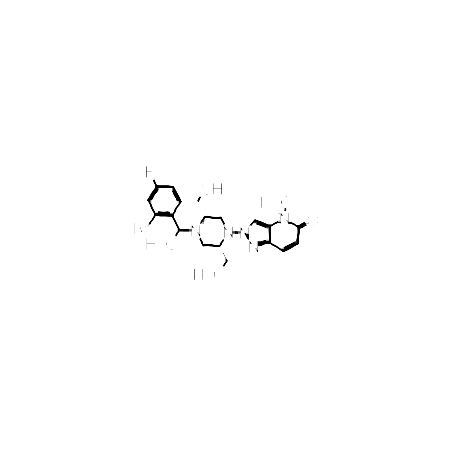 CC[C@@H]1CN(n2cc3c(ccc(=O)n3C)n2)[C@@H](CC)CN1C(C)c1ccc(F)cc1Br